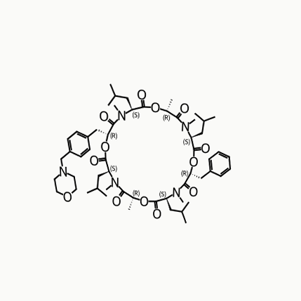 CC(C)C[C@H]1C(=O)O[C@H](Cc2ccc(CN3CCOCC3)cc2)C(=O)N(C)[C@@H](CC(C)C)C(=O)O[C@H](C)C(=O)N(C)[C@@H](CC(C)C)C(=O)O[C@H](Cc2ccccc2)C(=O)N(C)[C@@H](CC(C)C)C(=O)O[C@H](C)C(=O)N1C